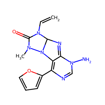 C=CN1C(=O)N(C)N2C3=C(c4ccco4)N=CN(N)C3=NC12